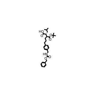 CC(C)C[C@@H](C(=O)O)C(CCCc1ccc(CNC(=O)OCc2ccccc2)cc1)C(=O)OC(C)(C)C